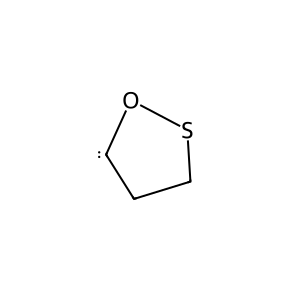 [C]1CCSO1